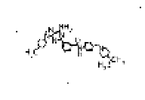 CC1CCC(n2cnc3c(N)nc(-c4cccc(C(=O)Nc5ccc(CN6CCC(N(C)C)CC6)cc5)c4)nc32)CC1